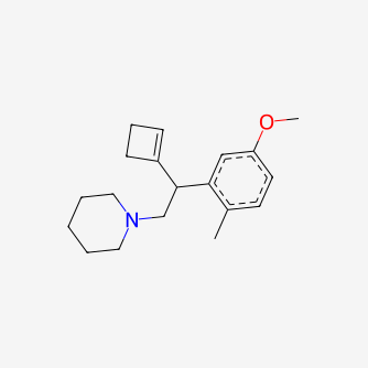 COc1ccc(C)c(C(CN2CCCCC2)C2=CCC2)c1